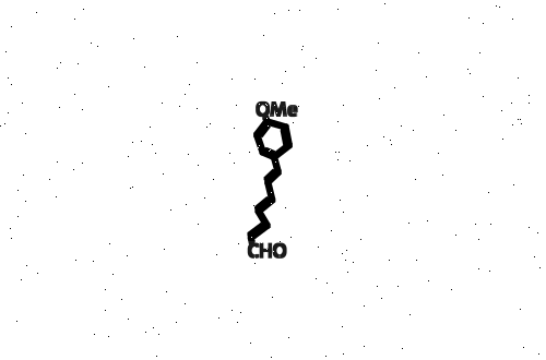 COc1ccc(/C=C/C=C/C=C/C=O)cc1